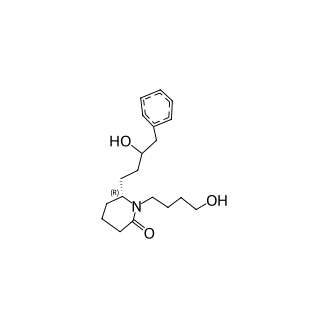 O=C1CCC[C@H](CCC(O)Cc2ccccc2)N1CCCCO